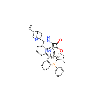 C=CC1CN2CCC1CC2C(Nc1c(N[C@H](C)[C@@H]2CCC(C)C2P(c2ccccc2)c2ccccc2)c(=O)c1=O)c1cccc2ccccc12